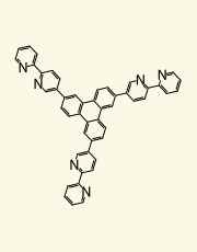 c1ccc(-c2ccc(-c3ccc4c(c3)c3ccc(-c5ccc(-c6ccccn6)nc5)cc3c3ccc(-c5ccc(-c6ccccn6)nc5)cc43)cn2)nc1